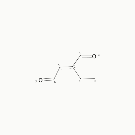 CC/C(C=O)=C\C=O